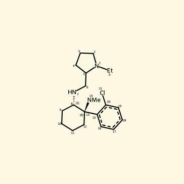 CCN1CCCC1CN[C@H]1CCCC[C@@]1(NC)c1ccccc1Cl